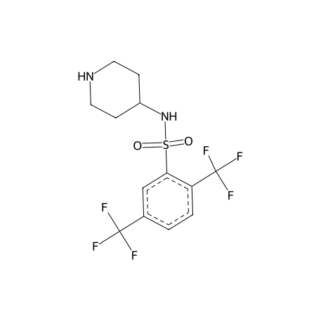 O=S(=O)(NC1CCNCC1)c1cc(C(F)(F)F)ccc1C(F)(F)F